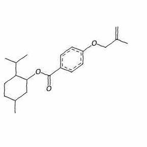 C=C(C)COc1ccc(C(=O)OC2CC(C)CCC2C(C)C)cc1